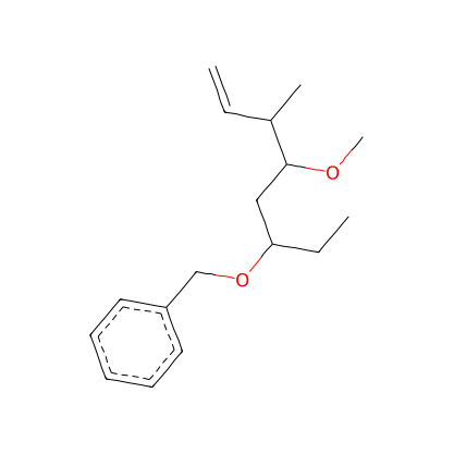 C=CC(C)C(CC(CC)OCc1ccccc1)OC